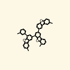 Cc1cccc(-c2cc(-c3cc(-c4ccc5oc6ccc(C)cc6c5c4)cc4c3oc3c(C)cccc34)cc3c2oc2ccc(C)cc23)c1